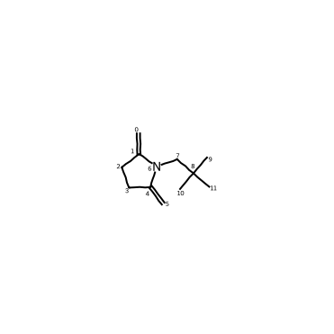 C=C1CCC(=C)N1CC(C)(C)C